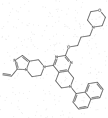 C=Cc1ncc2n1CCN(c1nc(OCCCN3CCOCC3)nc3c1CCN(c1cccc4ccccc14)C3)C2